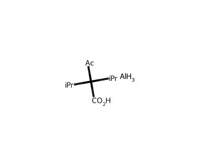 CC(=O)C(C(=O)O)(C(C)C)C(C)C.[AlH3]